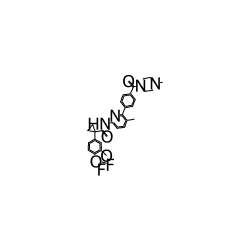 Cc1ccc(NC(=O)C2(c3ccc4c(c3)OC(F)(F)O4)CC2)nc1-c1ccc(C(=O)N2CCN(C)CC2)cc1